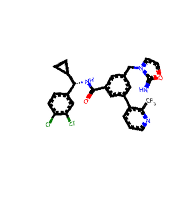 N=c1occn1Cc1cc(C(=O)N[C@H](c2ccc(Cl)c(Cl)c2)C2CC2)cc(-c2cccnc2C(F)(F)F)c1